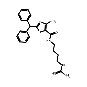 Cc1nc(C(c2ccccc2)c2ccccc2)oc1C(=O)NCCCCNC(=N)N